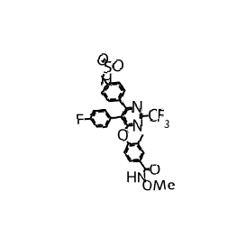 CONC(=O)c1ccc(Oc2nc(C(F)(F)F)nc(-c3ccc(C[SH](=O)=O)cc3)c2-c2ccc(F)cc2)c(C)c1